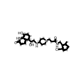 Cc1cccc(Cl)c1CNC(=O)CCN1CCC(NC[C@H](O)c2ccc(O)c3[nH]c(=O)ccc23)CC1